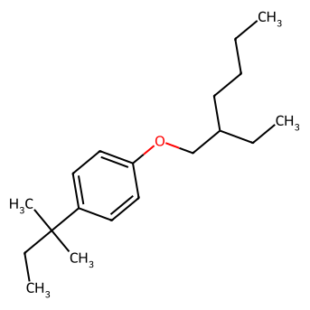 CCCCC(CC)COc1ccc(C(C)(C)CC)cc1